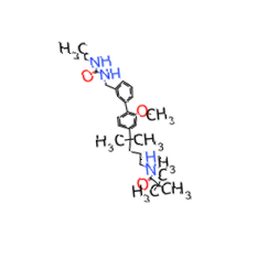 CCNC(=O)NCc1cccc(-c2ccc(C(C)(C)CCCNC(=O)C(C)(C)C)cc2OC)c1